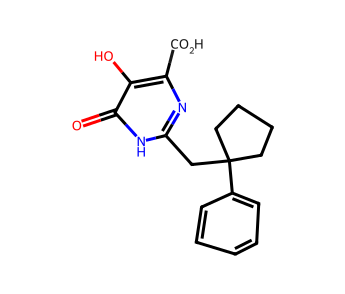 O=C(O)c1nc(CC2(c3ccccc3)CCCC2)[nH]c(=O)c1O